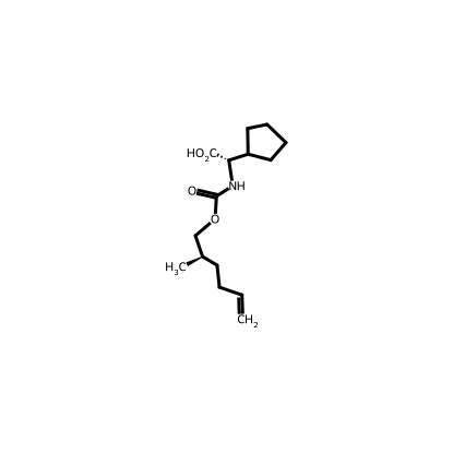 C=CCC[C@@H](C)COC(=O)N[C@H](C(=O)O)C1CCCC1